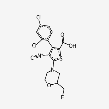 [C-]#[N+]c1c(N2CCOC(CF)C2)sc(C(=O)O)c1-c1ccc(Cl)cc1Cl